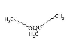 C=Cc1cc(OCCCCCCCCCC)ccc1OCCCCCCCCCC